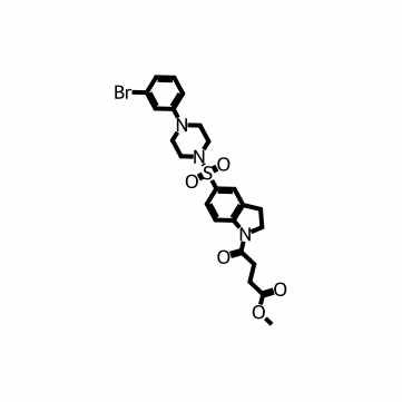 COC(=O)CCC(=O)N1CCc2cc(S(=O)(=O)N3CCN(c4cccc(Br)c4)CC3)ccc21